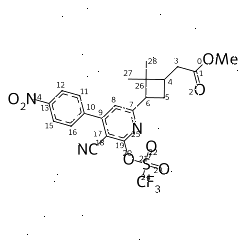 COC(=O)CC1CC(c2cc(-c3ccc([N+](=O)[O-])cc3)c(C#N)c(OS(=O)(=O)C(F)(F)F)n2)C1(C)C